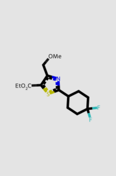 CCOC(=O)c1sc(C2CCC(F)(F)CC2)nc1COC